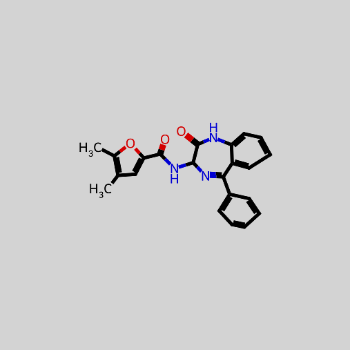 Cc1cc(C(=O)NC2N=C(c3ccccc3)c3ccccc3NC2=O)oc1C